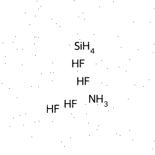 F.F.F.F.N.[SiH4]